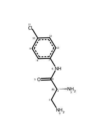 NC[C@@H](N)C(=O)Nc1ccc(Cl)cc1